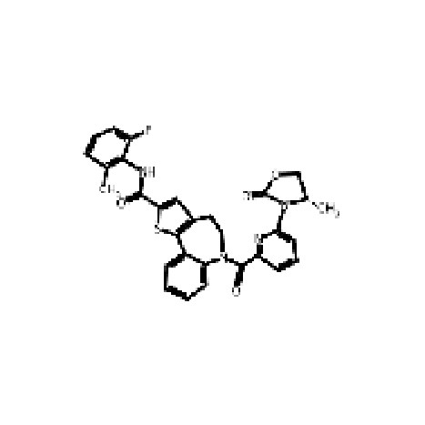 Cc1cccc(F)c1NC(=O)c1cc2c(s1)-c1ccccc1N(C(=O)c1cccc(N3C(=O)OC[C@@H]3C)n1)CC2